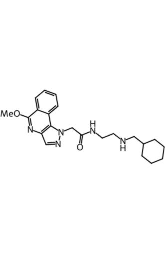 COc1nc2cnn(CC(=O)NCCNCC3CCCCC3)c2c2ccccc12